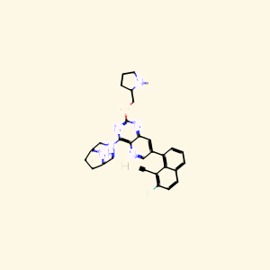 C#Cc1c(F)ccc2cccc(-c3cnc4c(N5CC6CCC(C5)N6)nc(OCC5CCCN5C)nc4c3)c12